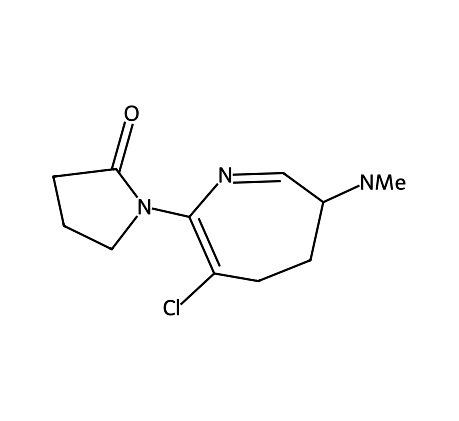 CNC1C=NC(N2CCCC2=O)=C(Cl)CC1